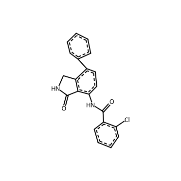 O=C(Nc1ccc(-c2ccccc2)c2c1C(=O)NC2)c1ccccc1Cl